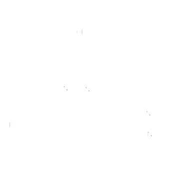 Cc1ccc(-c2cc(-c3ccc(-c4c5ccccc5n5c6ccccc6n(-c6ccccc6)c45)cc3)nc(-c3ccc(C)cc3)n2)cc1